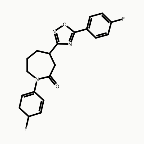 O=C1CC(c2noc(-c3ccc(F)cc3)n2)CCCN1C1=CCC(F)C=C1